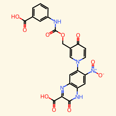 O=C(Nc1cccc(C(=O)O)c1)OCc1cn(-c2cc3nc(C(=O)O)c(=O)[nH]c3cc2[N+](=O)[O-])ccc1=O